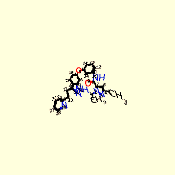 CCn1nc(C)cc1C(=O)Nc1cccc(Oc2ccc3c(/C=C/c4ccccn4)n[nH]c3c2)c1